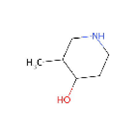 CC1CNCCC1O